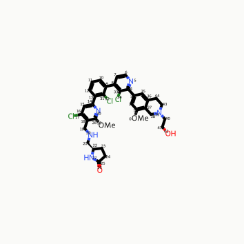 COc1cc(-c2nccc(-c3cccc(-c4cc(Cl)c(CNC[C@H]5CCC(=O)N5)c(OC)n4)c3Cl)c2Cl)cc2c1CN(CCO)CC2